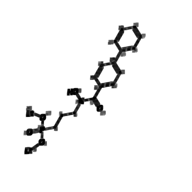 CCOP(=O)(CCCN(O)C(=O)c1ccc(-c2ccccc2)cc1)OCC